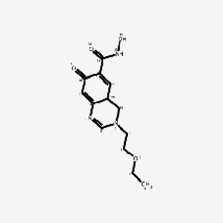 CCOCCN1C=NC2=CC(=O)C(C(=O)NO)=CC2C1